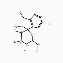 CCc1ccc(C)cc1C1(CO)OC(CC)C(C)C(C)C1C